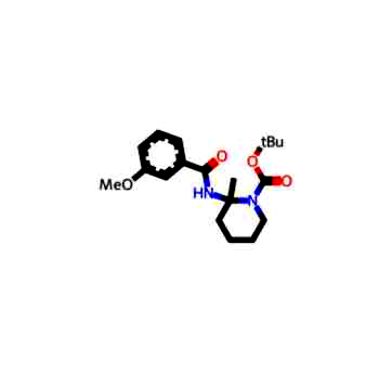 COc1cccc(C(=O)NC2(C)CCCCN2C(=O)OC(C)(C)C)c1